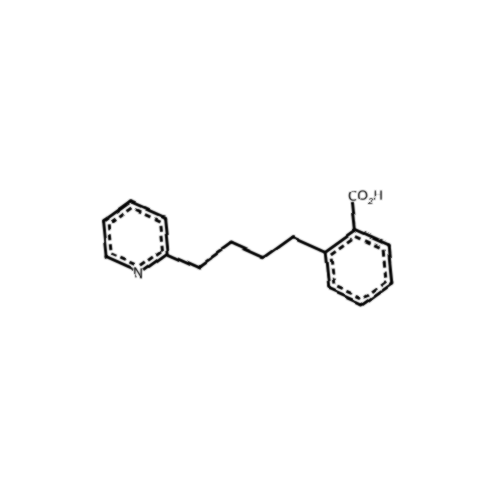 O=C(O)c1ccccc1CCCCc1ccccn1